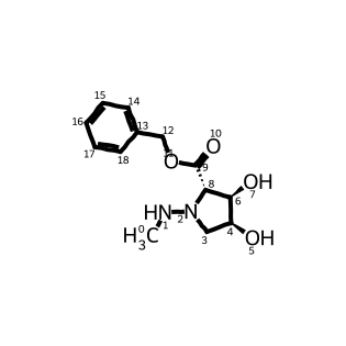 CNN1C[C@H](O)[C@H](O)[C@H]1C(=O)OCc1ccccc1